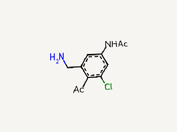 CC(=O)Nc1cc(Cl)c(C(C)=O)c(CN)c1